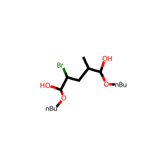 CCCCOC(O)C(C)CC(Br)C(O)OCCCC